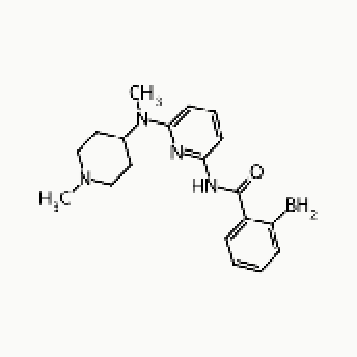 Bc1ccccc1C(=O)Nc1cccc(N(C)C2CCN(C)CC2)n1